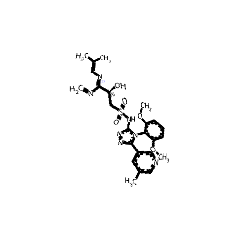 C=N/C(=N\C=C(C)C)[C@@H](O)CS(=O)(=O)Nc1nnc(-c2cncc(C)c2)n1-c1c(OC)cccc1OC